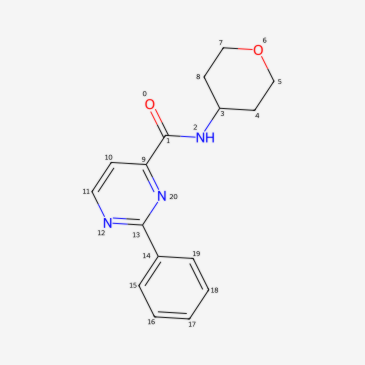 O=C(NC1CCOCC1)c1ccnc(-c2ccccc2)n1